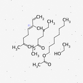 C=C/C(C)=C/CCC(=C)C.CCCCCC(=O)CC.CCCCCCCCOC(C)=O.CCO